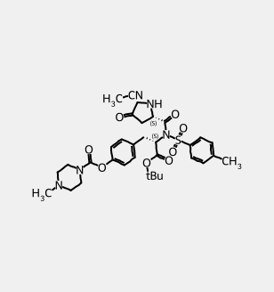 CC#N.Cc1ccc(S(=O)(=O)N(C(=O)[C@@H]2CC(=O)CN2)[C@@H](Cc2ccc(OC(=O)N3CCN(C)CC3)cc2)C(=O)OC(C)(C)C)cc1